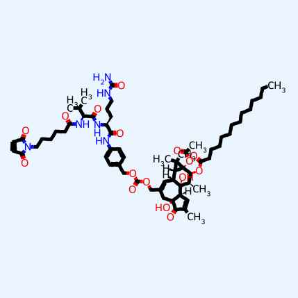 CCCCCCCCCCCCCC(=O)O[C@H]1[C@H](C)[C@]2(O)[C@H](C=C(COC(=O)OCc3ccc(NC(=O)[C@H](CCCNC(N)=O)NC(=O)[C@@H](NC(=O)CCCCCN4C(=O)C#CC4=O)C(C)C)cc3)C[C@@]3(O)C(=O)C(C)=C[C@H]23)[C@@H]2C(C)(C)[C@]21OC(C)=O